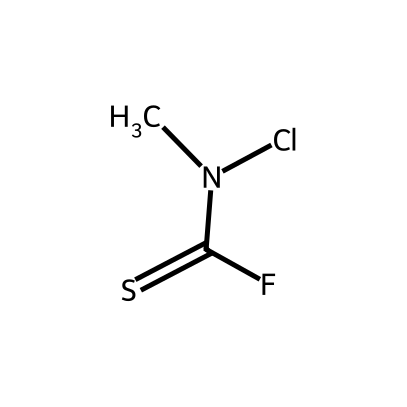 CN(Cl)C(F)=S